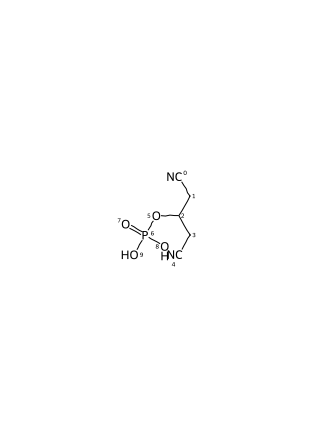 N#CCC(CC#N)OP(=O)(O)O